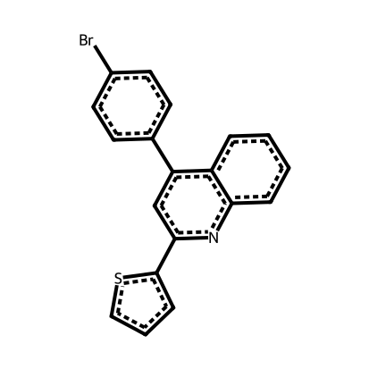 Brc1ccc(-c2cc(-c3cccs3)nc3ccccc23)cc1